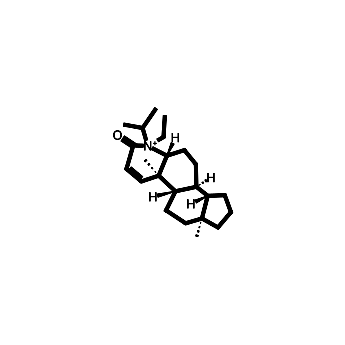 CC[N+]1(C(C)C)C(=O)C=C[C@@]2(C)[C@H]1CC[C@H]1[C@@H]3CCC[C@@]3(C)CC[C@@H]12